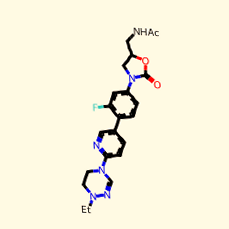 CCN1CCN(c2ccc(-c3ccc(N4CC(CNC(C)=O)OC4=O)cc3F)cn2)C=N1